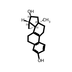 C[C@]12CCC3=C(CCc4cc(O)ccc43)[C@]13C[C@@H]3[C@@H](O)C2